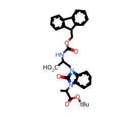 CC(C(=O)OC(C)(C)C)n1c(=O)n(CC(NC(=O)OCC2c3ccccc3-c3ccccc32)C(=O)O)c2ccccc21